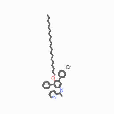 CCCCCCCCCCCCCCCCCCCCOc1c(-c2ccccc2)cc(N=C(C)c2ccccn2)cc1-c1ccccc1.[Cr]